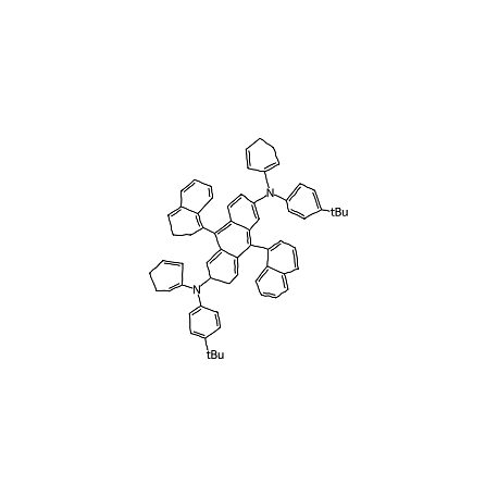 CC(C)(C)c1ccc(N(C2=CCCC=C2)c2ccc3c(C4=c5ccccc5=CCC4)c4c(c(-c5cccc6ccccc56)c3c2)=CCC(N(C2=CCCC=C2)c2ccc(C(C)(C)C)cc2)C=4)cc1